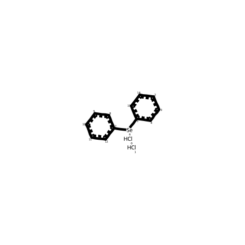 Cl.Cl.c1ccc([Se]c2ccccc2)cc1